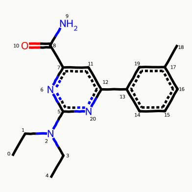 CCN(CC)c1nc(C(N)=O)cc(-c2cccc(C)c2)n1